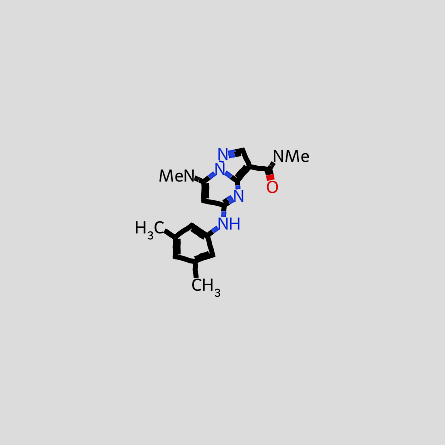 CNC(=O)c1cnn2c(NC)cc(Nc3cc(C)cc(C)c3)nc12